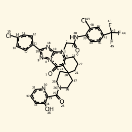 O=C(Cn1c2c(c(=O)n3nc(-c4ccc(Cl)cc4)nc13)C1(CCC2)CCN(C(=O)c2ncccc2O)CC1)Nc1ccc(C(F)(F)F)cc1Cl